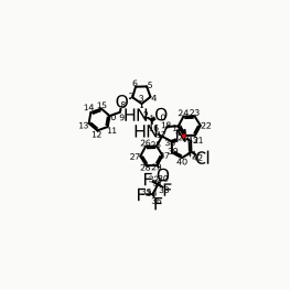 O=C(N[C@@H]1CCC[C@H]1OCc1ccccc1)N[C@@](Cc1ccccc1)(c1cccc(OC(F)(F)C(F)F)c1)c1ccc(Cl)cn1